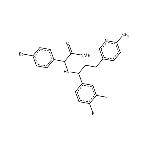 CCc1ccc(C(NC(CCc2ccc(C(F)(F)F)nc2)c2ccc(F)c(C)c2)C(=O)NC)cc1